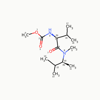 COC(=O)N[C@H](C(=O)N(C)[C@@H](C)C(C)C)C(C)C